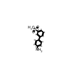 CS(=O)(=O)c1cccc(-c2ccc(N)cc2)c1